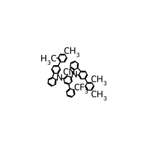 Cc1ccc(-c2ccc3c4ccccc4n(-c4cc(-c5ccccc5C(F)(F)F)cc(-n5c6ccccc6c6ccc(-c7ccc(C)cc7C)cc65)c4C#N)c3c2)c(C)c1